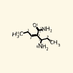 CCC=C(C(N)=O)C(N)CC